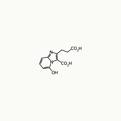 O=C(O)CCc1nc2cccc(O)n2c1C(=O)O